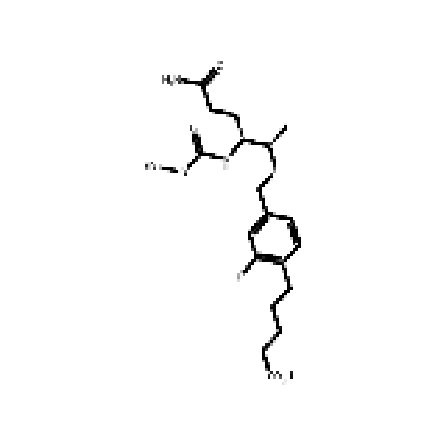 C[C@@H](OCc1ccc(CCCCC(=O)O)c(F)c1)[C@H](CCC(N)=O)NC(=O)OC(C)(C)C